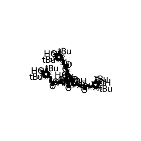 CC(C)(C)c1cc(CCC(=O)OCC(O)Cn2c(=O)n(CC(O)COC(=O)CCc3cc(C(C)(C)C)c(O)c(C(C)(C)C)c3)c(=O)n(CC(O)COC(=O)CCc3cc(C(C)(C)C)c(O)c(C(C)(C)C)c3)c2=O)cc(C(C)(C)C)c1O